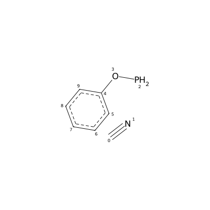 C#N.POc1ccccc1